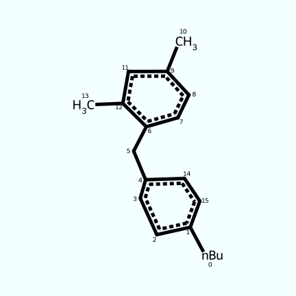 CCCCc1ccc(Cc2ccc(C)cc2C)cc1